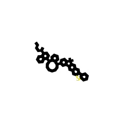 C=C/C=C\C(=C)c1ccc(-c2ccccccc(-c3ccc4c(c3)-c3cc5cc6sc7ccccc7c6cc5cc3C4(C)C)c3ccccc23)c2ccccc12